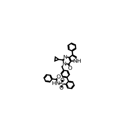 O=C(NS(=O)(=O)c1ccccc1-c1ccc(Cn2c(C3CC3)nc3c(-c4ccccc4)c[nH]c3c2=O)cc1)c1ccccc1